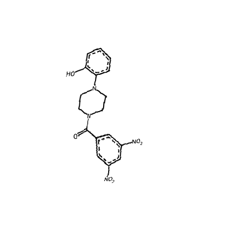 O=C(c1cc([N+](=O)[O-])cc([N+](=O)[O-])c1)N1CCN(c2ccccc2O)CC1